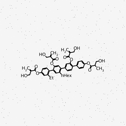 C=C(CO)C(=O)Oc1ccc(-c2cc(CCCCCC)c(-c3ccc(-c4ccc(OC(=O)C(C)CO)cc4)c(OC(=O)C(=C)CO)c3)cc2OC(=O)C(=C)CO)c(CC)c1